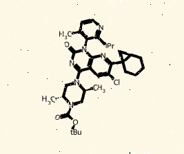 Cc1ccnc(C(C)C)c1-n1c(=O)nc(N2C[C@@H](C)N(C(=O)OC(C)(C)C)C[C@@H]2C)c2cc(Cl)c(C34CCCCC3C4)nc21